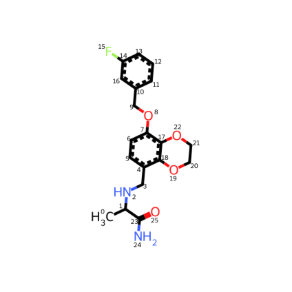 CC(NCc1ccc(OCc2cccc(F)c2)c2c1OCCO2)C(N)=O